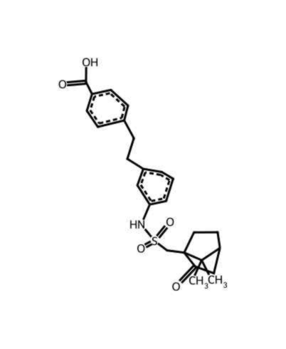 CC1(C)C2CCC1(CS(=O)(=O)Nc1cccc(CCc3ccc(C(=O)O)cc3)c1)C(=O)C2